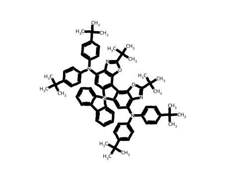 CC(C)(C)c1ccc(N(c2ccc(C(C)(C)C)cc2)c2cc3c(c4oc(C(C)(C)C)nc24)-c2c(cc(N(c4ccc(C(C)(C)C)cc4)c4ccc(C(C)(C)C)cc4)c4nc(C(C)(C)C)oc24)[Si]32c3ccccc3-c3ccccc32)cc1